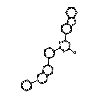 Clc1nc(-c2cccc(-c3ccc4ccc(-c5ccccc5)cc4c3)c2)nc(-c2ccc3c(c2)oc2ccccc23)n1